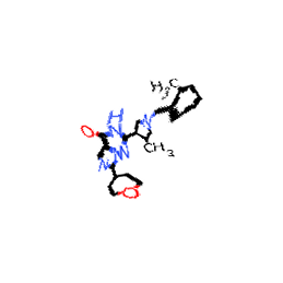 Cc1ccccc1CN1CC(C)C(c2nn3c(C4CCOCC4)ncc3c(=O)[nH]2)C1